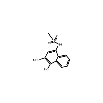 CS(=O)(=O)Nc1cc(C=O)c(O)c2ccccc12